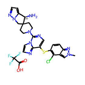 Cn1cc2c(Cl)c(Sc3cnc(N4CCC5(CC4)Cn4nccc4[C@H]5N)n4ccnc34)ccc2n1.O=C(O)C(F)(F)F